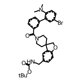 CN(C)c1ccc(Br)cc1-c1cccc(C(=O)N2CCC3(CC2)COc2ccc(CNC(=O)OC(C)(C)C)cc23)c1